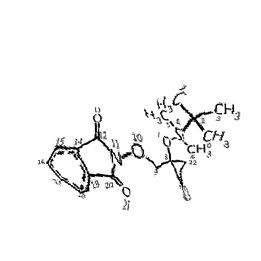 CC(C)(C)[Si](C)(C)OC1(CON2C(=O)c3ccccc3C2=O)CC1